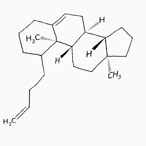 C=CCCC1CCCC2=CC[C@H]3[C@@H]4CCC[C@@]4(C)CC[C@@H]3[C@]21C